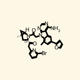 Cc1cc(-c2ccco2)cc2c3c(N)ncnc3n(CC(=O)N3[C@H](C(=O)Cc4cccc(Br)n4)C[C@@]4(C)C[C@@H]34)c12